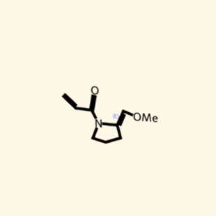 C=CC(=O)N1CCC/C1=C\OC